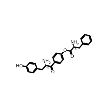 N[C@@H](Cc1ccccc1)C(=O)Oc1ccc(C(=O)[C@@H](N)Cc2ccc(O)cc2)cc1